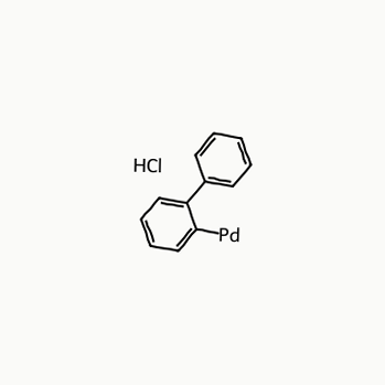 Cl.[Pd][c]1ccccc1-c1ccccc1